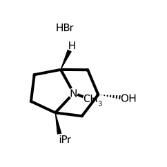 Br.CC(C)[C@]12CC[C@H](C[C@H](O)C1)N2C